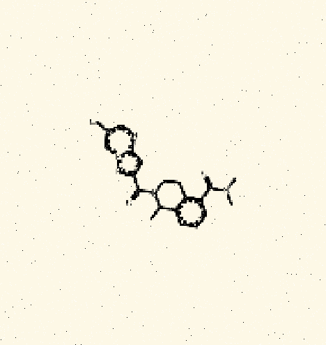 CC1c2cccc(C(=O)N(C)C)c2CCN1C(=O)c1cc2ncc(Cl)cn2n1